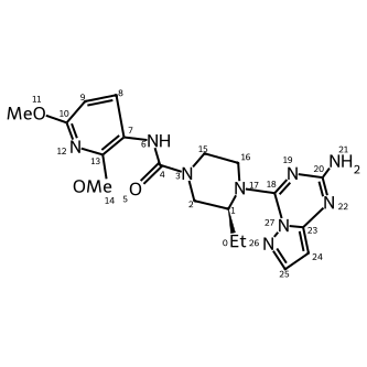 CC[C@H]1CN(C(=O)Nc2ccc(OC)nc2OC)CCN1c1nc(N)nc2ccnn12